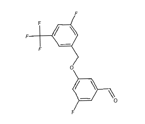 O=Cc1cc(F)cc(OCc2cc(F)cc(C(F)(F)F)c2)c1